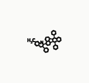 Cc1ccc2cc(-c3ccccc3)c(-c3ccc4c5c(cccc35)-c3c-4c(-c4ccccc4)c4ccccc4c3-c3ccccc3)nc2c1